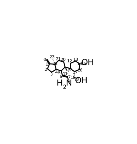 C=C1CCC2C(/C=C/N)C([C@@]3(C)CC[C@H](O)C[C@@H]3CO)CC[C@]12C